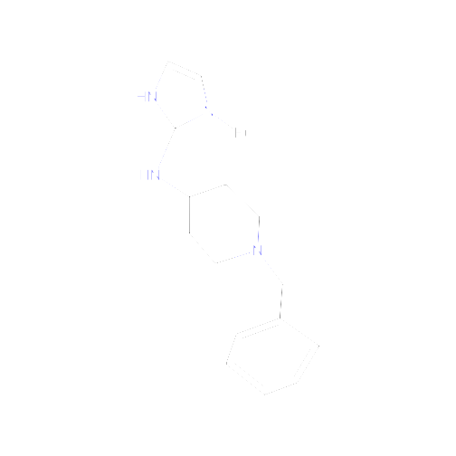 CCN1C=CNC1NC1CCN(Cc2ccccc2)CC1